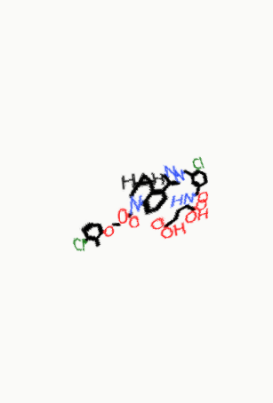 Cc1c(Cl)cccc1OCCOC(=O)N1C[C@@H]2C[C@@H]2c2c(-c3cnn(Cc4cc(C(=O)NC(CCC(=O)O)C(=O)O)ccc4Cl)c3)cccc21